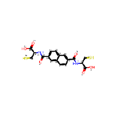 O=C(NC(CS)C(=O)O)c1ccc2cc(C(=O)NC(CS)C(=O)O)ccc2c1